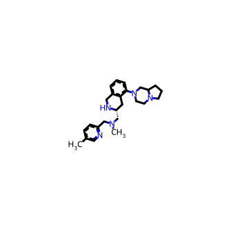 Cc1ccc(CN(C)C[C@H]2Cc3c(cccc3N3CCN4CCCC4C3)CN2)nc1